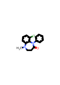 CN1CCC(=O)N(c2ccccc2)c2c(Cl)cccc21